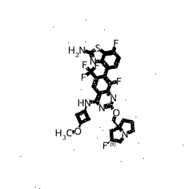 CO[C@H]1C[C@@H](Nc2nc(OC[C@@]34CCCN3C[C@H](F)C4)nc3c(F)c(-c4ccc(F)c5sc(N)nc45)c(C(F)(F)F)cc23)C1